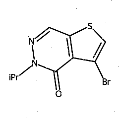 CC(C)n1ncc2scc(Br)c2c1=O